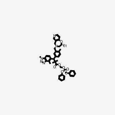 CC[C@@H]1CN(Cc2cc(C(c3ccc4c(nnn4C)c3C)C(C)(C)C(=O)OCOP(=O)(Oc3ccccc3)Oc3ccccc3)ccc2C)Cc2cnccc2O1